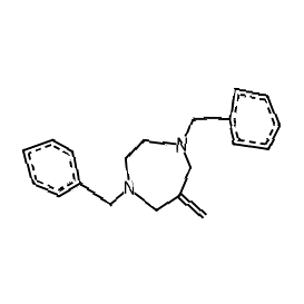 C=C1CN(Cc2ccccc2)CCN(Cc2ccccc2)C1